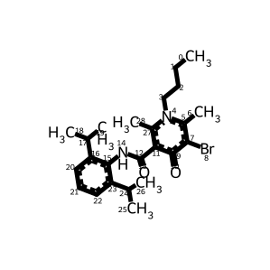 CCCCn1c(C)c(Br)c(=O)c(C(=O)Nc2c(C(C)C)cccc2C(C)C)c1C